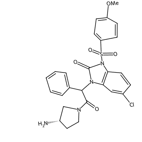 COc1ccc(S(=O)(=O)n2c(=O)n(C(C(=O)N3CC[C@H](N)C3)c3ccccc3)c3cc(Cl)ccc32)cc1